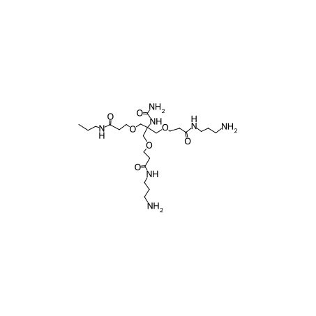 CCCNC(=O)CCOCC(COCCC(=O)NCCCN)(COCCC(=O)NCCCN)NC(N)=O